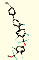 CCCc1ccc(-c2ccc(-c3cc(F)c(C(F)(F)Oc4cc(F)c(C(F)(F)OC(F)(F)F)c(F)c4)c(F)c3)c(F)c2)cc1